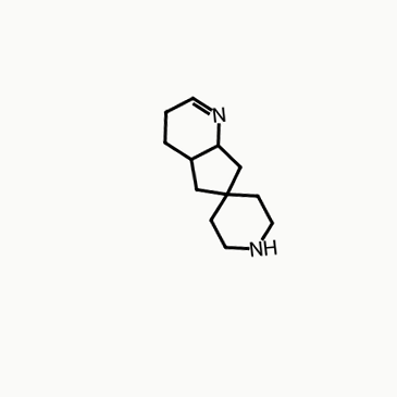 C1=NC2CC3(CCNCC3)CC2CC1